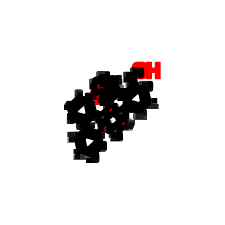 COc1cccc(-c2ccccc2)c1-c1ccccc1-c1ccccc1-c1c(CO)cccc1-c1ccccc1